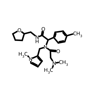 Cc1ccc(C(C(=O)NCC2CCCO2)N(Cc2cccn2C)C(=O)CN(C)C)cc1